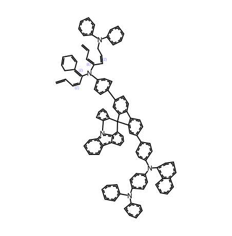 C=C/C=C\C(=C1\C=CC=CC1)N(C(/C=C\CN(c1ccccc1)c1ccccc1)=C/C=C)c1ccc(-c2ccc3c(c2)C2(c4cc(-c5ccc(N(c6ccc(N(c7ccccc7)c7ccccc7)cc6)c6cccc7ccccc67)cc5)ccc4-3)c3ccccc3-n3c4ccccc4c4cccc2c43)cc1